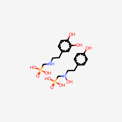 O=P(O)(O)CN(O)CCc1ccc(O)cc1.O=P(O)(O)CNCCc1ccc(O)c(O)c1